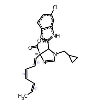 C\C=C/C=C\C=C\[C@@]1(C(=O)OC)N=CN(CC2CC2)C1c1cc2ccc(Cl)cc2[nH]1